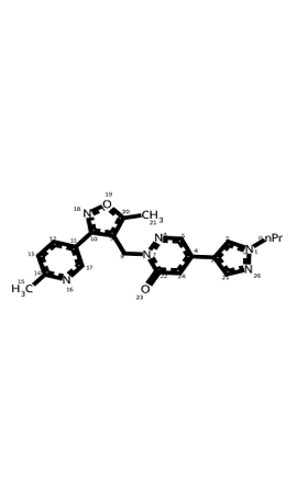 CCCn1cc(-c2cnn(Cc3c(-c4ccc(C)nc4)noc3C)c(=O)c2)cn1